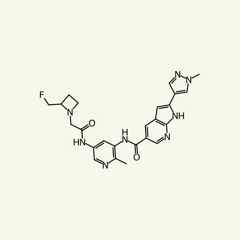 Cc1ncc(NC(=O)CN2CCC2CF)cc1NC(=O)c1cnc2[nH]c(-c3cnn(C)c3)cc2c1